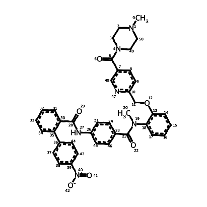 CN1CCN(C(=O)c2ccc(COc3ccccc3N(C)C(=O)c3ccc(NC(=O)c4ccccc4-c4ccc([N+](=O)[O-])cc4)cc3)nc2)CC1